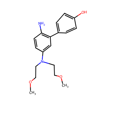 COCCN(CCOC)c1ccc(N)c(-c2ccc(O)cc2)c1